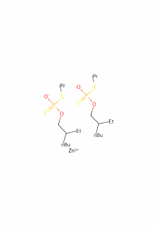 CCCCC(CC)COP([O-])(=S)SC(C)C.CCCCC(CC)COP([O-])(=S)SC(C)C.[Zn+2]